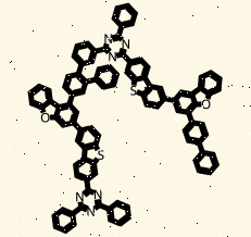 c1ccc(-c2ccc(-c3cc(-c4ccc5sc6cc(-c7nc(-c8ccccc8)nc(-c8cccc(-c9ccc(-c%10cc(-c%11ccc%12sc%13cc(-c%14nc(-c%15ccccc%15)nc(-c%15ccccc%15)n%14)ccc%13c%12c%11)cc%11oc%12ccccc%12c%10%11)cc9-c9ccccc9)c8)n7)ccc6c5c4)cc4c3oc3ccccc34)cc2)cc1